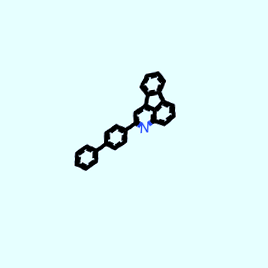 c1ccc(-c2ccc(-c3cc4c5c(cccc5n3)-c3ccccc3-4)cc2)cc1